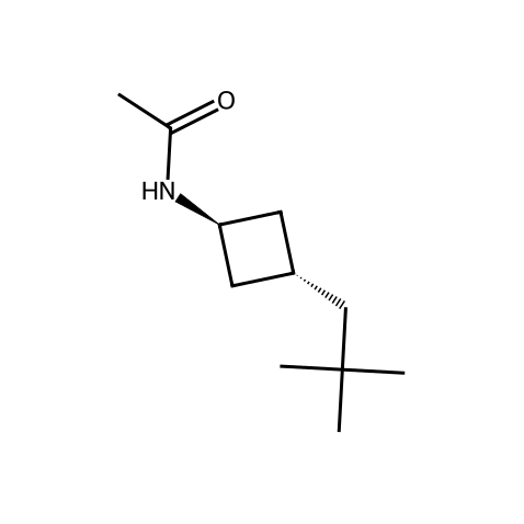 CC(=O)N[C@H]1C[C@H](CC(C)(C)C)C1